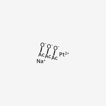 CC(=O)[O-].CC(=O)[O-].CC(=O)[O-].[Na+].[Pt+2]